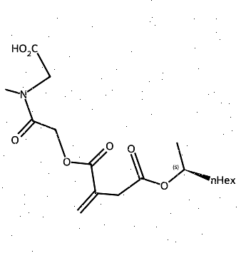 C=C(CC(=O)O[C@@H](C)CCCCCC)C(=O)OCC(=O)N(C)CC(=O)O